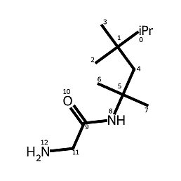 CC(C)C(C)(C)CC(C)(C)NC(=O)CN